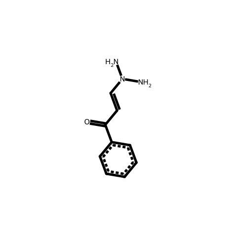 NN(N)C=CC(=O)c1ccccc1